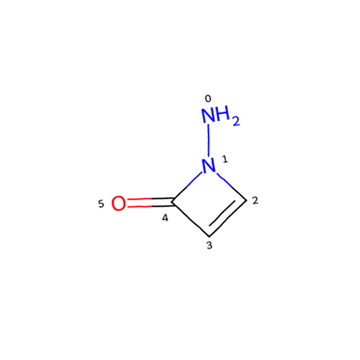 NN1C=CC1=O